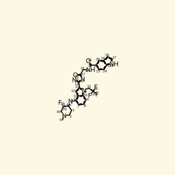 CN1CC/C(=N\c2cccc3c2cc(-c2noc(CNC(=O)c4ccc5[nH]ccc5c4)n2)n3CC(F)(F)F)[C@@H](F)C1